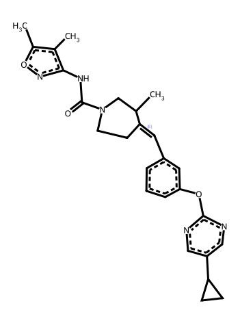 Cc1onc(NC(=O)N2CC/C(=C\c3cccc(Oc4ncc(C5CC5)cn4)c3)C(C)C2)c1C